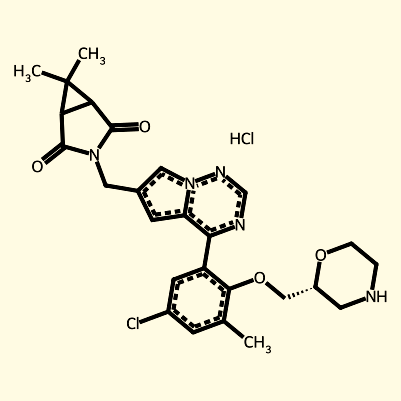 Cc1cc(Cl)cc(-c2ncnn3cc(CN4C(=O)C5C(C4=O)C5(C)C)cc23)c1OC[C@H]1CNCCO1.Cl